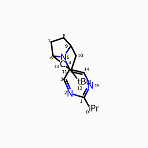 CC(C)c1ncc(N2C3CCC2CC(C(C)(C)C)C3)cn1